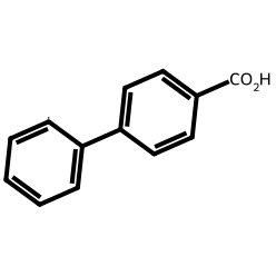 O=C(O)c1ccc(-c2[c]cccc2)cc1